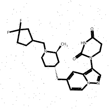 C[C@H]1C[C@H](Cc2ccn3ncc(N4CCC(=O)NC4=O)c3c2)CCN1CC1CCC(F)(F)C1